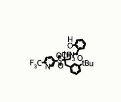 CC(C)(C)c1cccc(CC(C)(CNC(=O)c2ccccc2O)S(=O)(=O)c2ccc(C(F)(F)F)nc2)c1